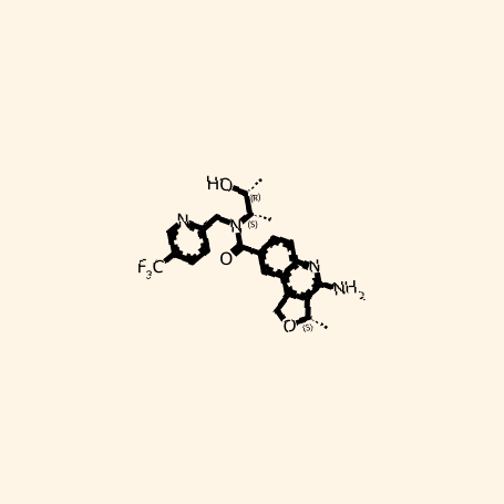 C[C@@H]1OCc2c1c(N)nc1ccc(C(=O)N(Cc3ccc(C(F)(F)F)cn3)[C@@H](C)[C@@H](C)O)cc21